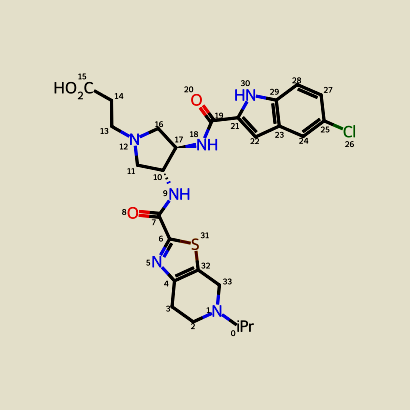 CC(C)N1CCc2nc(C(=O)N[C@@H]3CN(CCC(=O)O)C[C@H]3NC(=O)c3cc4cc(Cl)ccc4[nH]3)sc2C1